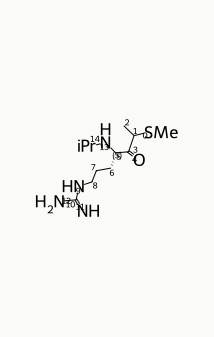 CSC(C)C(=O)[C@H](CCCNC(=N)N)NC(C)C